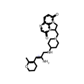 CC1=C(/C=C(\N)CNC2CCN(CC3Cn4c(=O)ccc5ncc(=O)n3c54)CC2)CCCO1